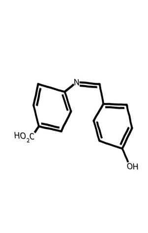 O=C(O)c1ccc(/N=C\c2ccc(O)cc2)cc1